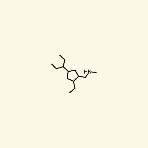 CCC(CC)C1CC(CC)C(CNC)C1